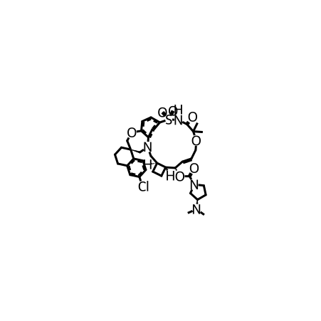 CN(C)[C@@H]1CCN(C(=O)O[C@H]2/C=C/COC(C)(C)C(=O)NS(=O)(=O)c3ccc4c(c3)N(C[C@@H]3CC[C@H]32)C[C@@]2(CCCc3cc(Cl)ccc32)CO4)C1